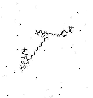 CC(=N)c1ccc(OCCC/C(CCCCCCCCCCC/C(=N/C(=O)OC(C)(C)C)NC(=O)OC(C)(C)C)=N/C(=O)OC(C)(C)C)cc1